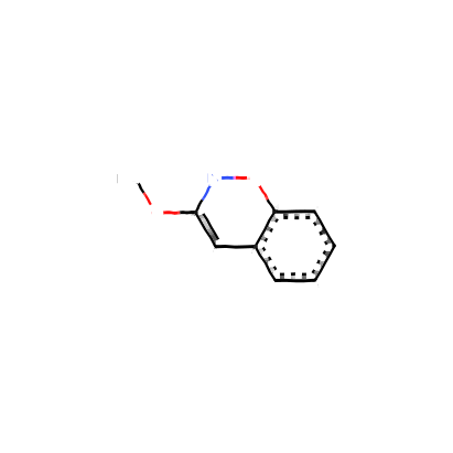 [SiH3]OC1=Cc2ccccc2ON1